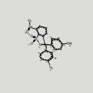 O=[N+]([O-])c1cccc2c1S(=O)(=O)OC2(c1ccc(O)cc1)c1ccc(O)cc1